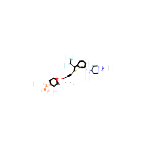 COc1cc(P(C)(C)=O)ccc1OCC#Cc1sc2c(NC3CCN(C)CC3F)cccc2c1C(F)C(F)F